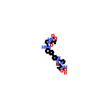 COC(=O)N[C@H](C(=O)N1CCCC1c1nc2c([nH]1)CCc1cc(-c3ccc4[nH]c([C@@H]5CCCN5C(=O)[C@@H](NC(=O)O)C(C)C)nc4c3)ccc1-2)C(C)C